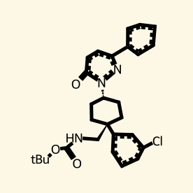 CC(C)(C)OC(=O)NC[C@]1(c2cccc(Cl)c2)CC[C@@H](n2nc(-c3ccccc3)ccc2=O)CC1